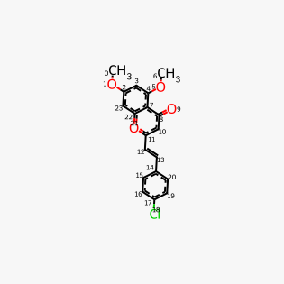 COc1cc(OC)c2c(=O)cc(/C=C/c3ccc(Cl)cc3)oc2c1